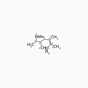 CNC(C)C(C)CC(C)=C(C)C